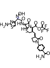 NC(=O)c1ccc(N2CCC(=CC3=C(C(=O)OC(=O)C(F)(F)F)N4C(=O)[C@@H](NC(=O)/C(=N\O)c5csc(N)n5)[C@H]4SC3)C2=O)cc1